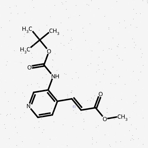 COC(=O)/C=C/c1ccncc1NC(=O)OC(C)(C)C